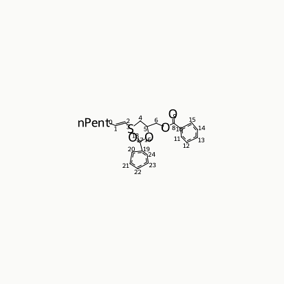 CCCCCC=CSCC(COC(=O)c1ccccc1)OC(=O)c1ccccc1